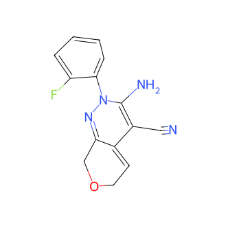 N#CC1=C(N)N(c2ccccc2F)N=C2COCC=C21